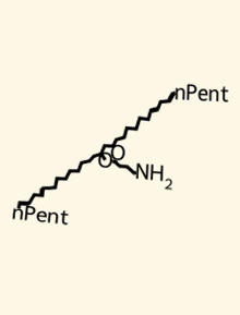 CCCCCC=CCC=CCCCCCCCCC(CCCCCCCCC=CCC=CCCCCC)OC(=O)CCCN